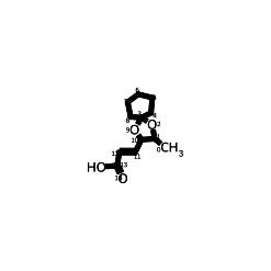 CC1OC2(CCCCC2)OC1C=CC(=O)O